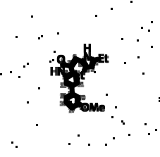 CCc1cc(CC)c(C=C2C(=O)Nc3cc(-c4cccc(OC)c4)ccc32)[nH]1